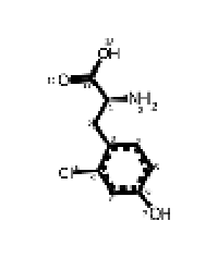 N[C@@H](Cc1ccc(O)cc1Cl)C(=O)O